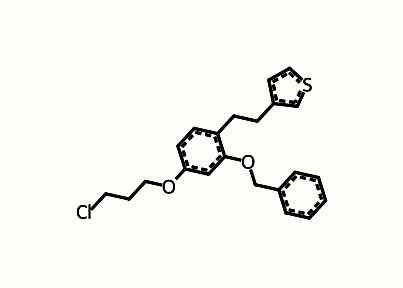 ClCCCOc1ccc(CCc2ccsc2)c(OCc2ccccc2)c1